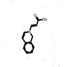 O=C(O)C=CN1C=Cc2ccccc2C1